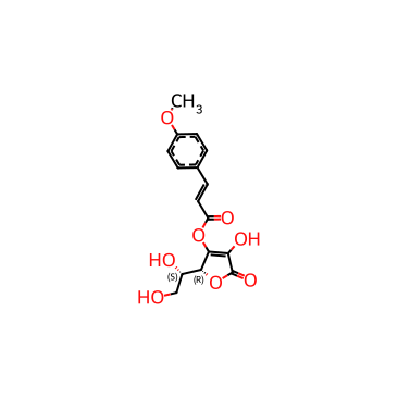 COc1ccc(C=CC(=O)OC2=C(O)C(=O)O[C@@H]2[C@@H](O)CO)cc1